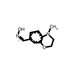 CN1CCOc2cc(/C=N\O)ccc21